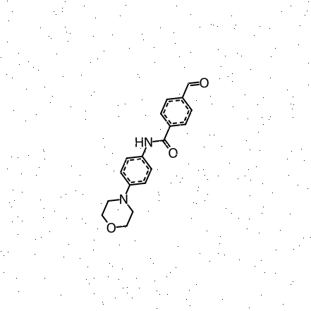 O=Cc1ccc(C(=O)Nc2ccc(N3CCOCC3)cc2)cc1